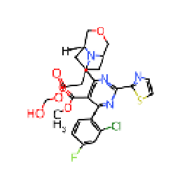 COC(=O)c1c(CN2C3COC[C@H]2CC(CC(=O)OCO)C3)nc(-c2nccs2)nc1-c1ccc(F)cc1Cl